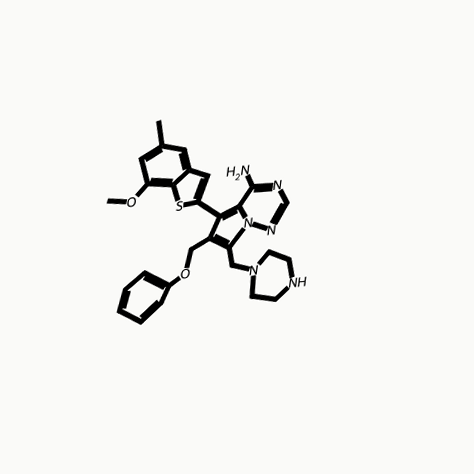 COc1cc(C)cc2cc(-c3c(COc4ccccc4)c(CN4CCNCC4)n4ncnc(N)c34)sc12